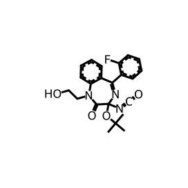 CC(C)(C)OC1(N=C=O)N=C(c2ccccc2F)c2ccccc2N(CCO)C1=O